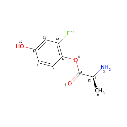 C[C@H](N)C(=O)Oc1ccc(O)cc1F